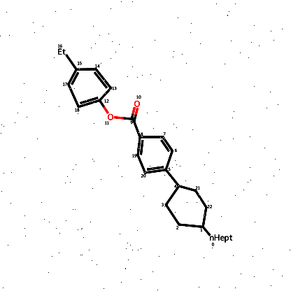 CCCCCCCC1CCC(c2ccc(C(=O)Oc3ccc(CC)cc3)cc2)CC1